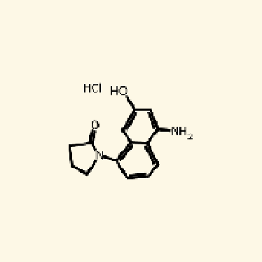 Cl.Nc1cc(O)cc2c(N3CCCC3=O)cccc12